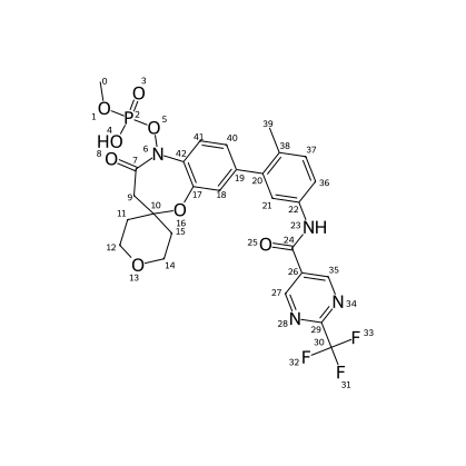 COP(=O)(O)ON1C(=O)CC2(CCOCC2)Oc2cc(-c3cc(NC(=O)c4cnc(C(F)(F)F)nc4)ccc3C)ccc21